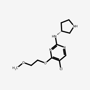 COCCOc1nc(N[C@@H]2CCNC2)ncc1Cl